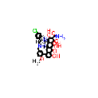 COc1ccc(CNCCc2ccc(Cl)cc2)cc1-c1ccc(O)c2c1C[C@H]1C[C@H]3[C@@H](N(C)C)C(O)=C(C(N)=O)C(=O)[C@@]3(O)C(O)=C1C2=O